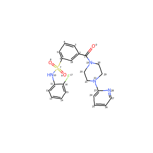 O=C(c1cccc(S(=O)(=O)Nc2ccccc2F)c1)N1CCN(c2ccccn2)CC1